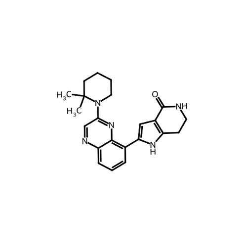 CC1(C)CCCCN1c1cnc2cccc(-c3cc4c([nH]3)CCNC4=O)c2n1